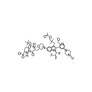 COC(=O)C1CCCN(C(=O)C(CC2CN(c3ccc4c(c3)c(CC(C)(C)COC(C)=O)c(-c3cc(N5CCN(C6CC6)CC5)cnc3[C@H](C)OC)n4C(F)C(F)F)CCO2)NC(=O)OC(C)(C)C)N1